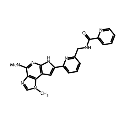 CNc1nc2[nH]c(-c3cccc(CNC(=O)c4ccccn4)n3)cc2c2c1ncn2C